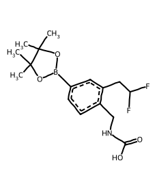 CC1(C)OB(c2ccc(CNC(=O)O)c(CC(F)F)c2)OC1(C)C